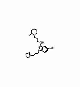 CC1CCCCN1CCCNc1nn(CCCN2CCCC2)c2ccc(O)cc12